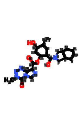 CC(C)c1cc(C(=O)N2Cc3ccccc3C2)c(OC(=O)c2ncn3c(=O)n(C)nnc23)cc1O